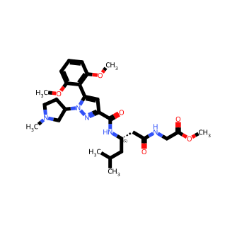 COC(=O)CNC(=O)C[C@H](CC(C)C)NC(=O)c1cc(-c2c(OC)cccc2OC)n(C2CCN(C)C2)n1